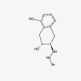 CC(C)NN[C@@H]1Cc2cccc(O)c2C[C@H]1O